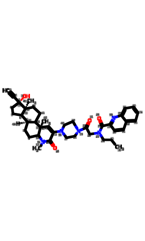 C#C[C@]1(O)CCC2[C@@H]3CCC4N(C)C(=O)C(N5CCN(C(=O)CN(CCC)C(=O)c6ccc7ccccc7n6)CC5)=C[C@]4(C)C3CC[C@@]21C